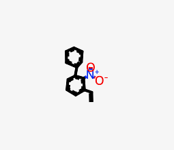 C=Cc1cccc(-c2ccccc2)c1[N+](=O)[O-]